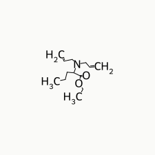 C=CCN(CC=C)C(CCC)C(=O)OCC